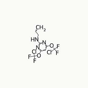 C=CCNc1nc(OC(F)(F)Cl)cc(OC(F)(F)Cl)n1